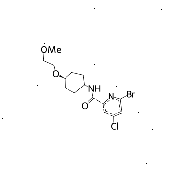 COCCO[C@H]1CC[C@H](NC(=O)c2cc(Cl)cc(Br)n2)CC1